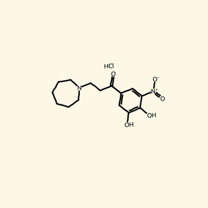 Cl.O=C(CCN1CCCCCC1)c1cc(O)c(O)c([N+](=O)[O-])c1